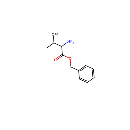 CC(=O)OC(C)C(N)C(=O)OCc1ccccc1